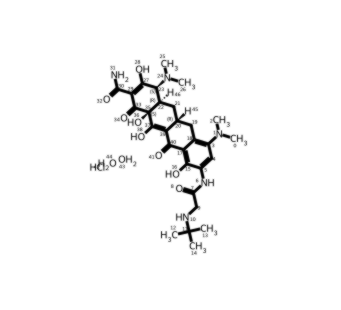 CN(C)c1cc(NC(=O)CNC(C)(C)C)c(O)c2c1C[C@H]1C[C@@H]3[C@H](N(C)C)C(O)=C(C(N)=O)C(=O)[C@@]3(O)C(O)=C1C2=O.Cl.O.O